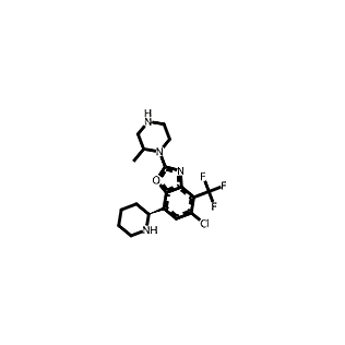 CC1CNCCN1c1nc2c(C(F)(F)F)c(Cl)cc([C@@H]3CCCCN3)c2o1